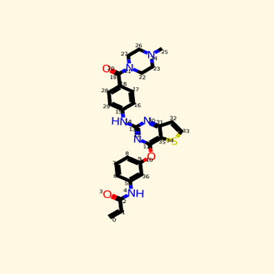 C=CC(=O)Nc1cccc(Oc2nc(Nc3ccc(C(=O)N4CCN(C)CC4)cc3)nc3ccsc23)c1